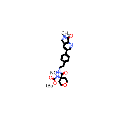 CN1Cc2cc(-c3ccc(CCN(C#N)C(=O)C4(NC(=O)OC(C)(C)C)CCOCC4)cc3)cnc2C1=O